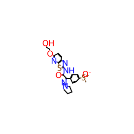 C[S+]([O-])c1ccc(/C(=N\N2CCCC2)C(=O)Nc2nc3ccc(OCCO)nc3s2)cc1